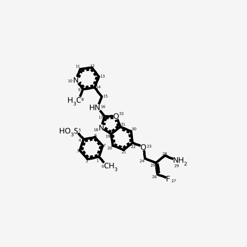 Cc1ccc(S(=O)(=O)O)cc1.Cc1ncccc1CNc1nc2ccc(OCC(=CF)CN)cc2o1